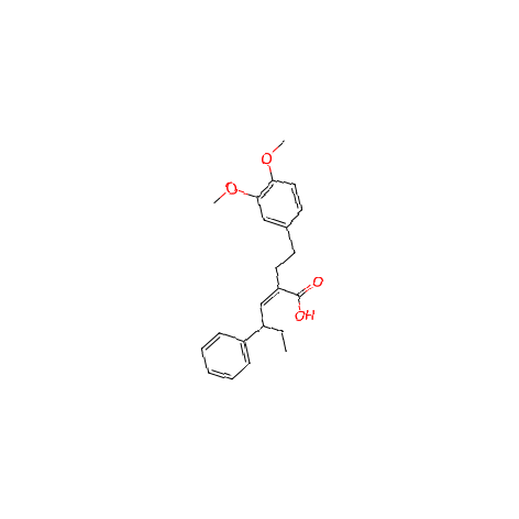 CCC(C=C(CCc1ccc(OC)c(OC)c1)C(=O)O)c1ccccc1